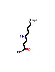 CCCCCCCCCCCCCC(=O)CCC.N